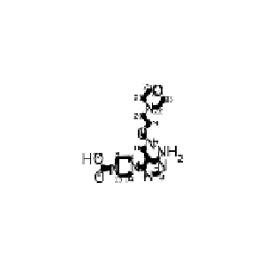 Nc1ncnc(N2CCN(C(=O)O)CC2)c1C=NOCCN1CCOCC1